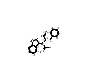 CC(=O)N(C1COc2ccccc21)[C@H]([C]=O)Cc1ccccc1